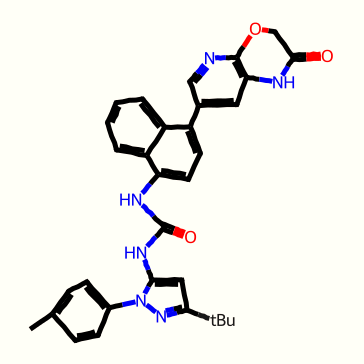 Cc1ccc(-n2nc(C(C)(C)C)cc2NC(=O)Nc2ccc(-c3cnc4c(c3)NC(=O)CO4)c3ccccc23)cc1